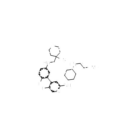 COC[C@@H](C)N[C@H]1CC[C@H](Nc2cc(-c3cc(NCC4(C#N)CCOCC4)ccc3F)c(F)cn2)CC1